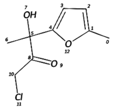 Cc1ccc(C(C)(O)C(=O)CCl)o1